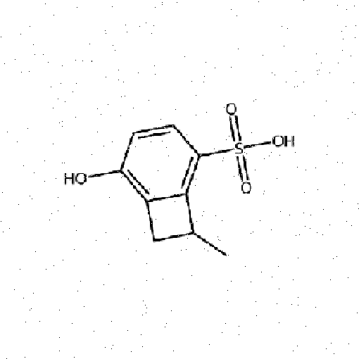 CC1Cc2c(O)ccc(S(=O)(=O)O)c21